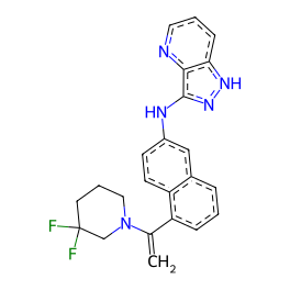 C=C(c1cccc2cc(Nc3n[nH]c4cccnc34)ccc12)N1CCCC(F)(F)C1